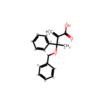 C=C(C(=O)O)C(C)(OCc1ccccc1)c1ccccc1